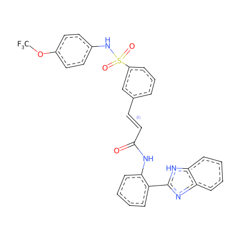 O=C(/C=C/c1cccc(S(=O)(=O)Nc2ccc(OC(F)(F)F)cc2)c1)Nc1ccccc1-c1nc2ccccc2[nH]1